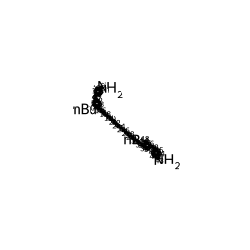 CCCCc1cc(Cc2ccc(N)cc2)ccc1CCCCCCCCCCCCCCCCCCCc1ccc(Cc2ccc(N)cc2)cc1CCCC